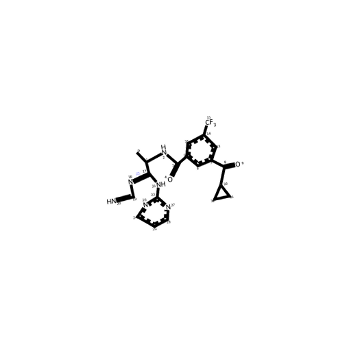 CC(NC(=O)c1cc(C(=O)C2CC2)cc(C(F)(F)F)c1)/C(=N/C=N)Nc1ncccn1